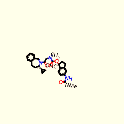 CNC(=O)Nc1ccc2c(c1)CC[C@]2(C=O)OC(=O)N(C)CC(=O)N1Cc2ccccc2CC[C@@H]1C1CC1